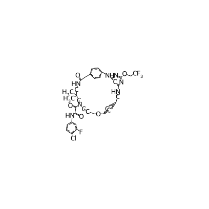 CC1(C)CNC(=O)c2ccc(cc2)Nc2cc(nc(OCC(F)(F)F)n2)NCc2ccc(cc2)OCCCN(C(=O)C(=O)Nc2ccc(Cl)c(F)c2)C1